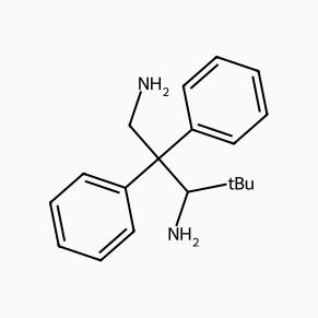 CC(C)(C)C(N)C(CN)(c1ccccc1)c1ccccc1